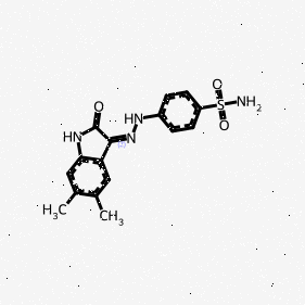 Cc1cc2c(cc1C)/C(=N/Nc1ccc(S(N)(=O)=O)cc1)C(=O)N2